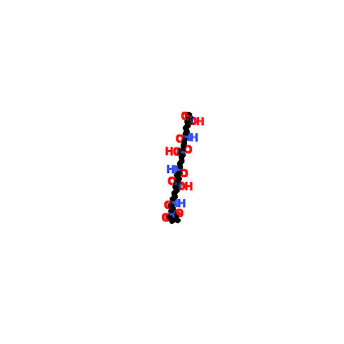 CC(=O)N(O)CCCCCNC(=O)CCC(=O)N(O)CCCCCNC(=O)CCC(=O)N(O)CCCCCNC(=O)CCN1C(=O)CC(C)C1=O